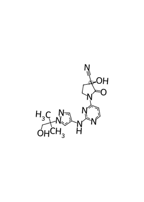 CC(C)(CO)n1cc(Nc2nccc(N3CC[C@](O)(C#N)C3=O)n2)cn1